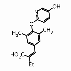 CCC(=Cc1cc(C)c(Oc2ccc(O)cn2)c(C)c1)C(=O)O